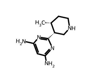 C[C@@H]1CCNC[C@@H]1c1nc(N)cc(N)n1